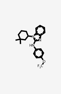 CC1(C)CCCC(n2c(Nc3ccc(OC(F)(F)F)cc3)nc3ccccc32)C1